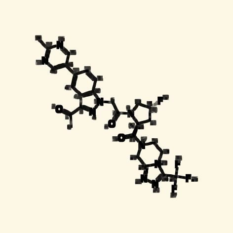 CC(=O)c1nn(CC(=O)N2C[C@H](F)C[C@H]2C(=O)N2CCn3c(nnc3C(F)(F)F)C2)c2ccc(-c3cnc(C)nc3)cc12